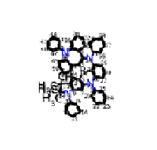 CC1(C)c2cc3c(cc2N(c2ccccc2)C1(C)C)N(c1ccccc1)c1cccc2c1B3C1=C(c3ccccc3N(c3ccccc3)c3ccccc31)N2c1ccccc1